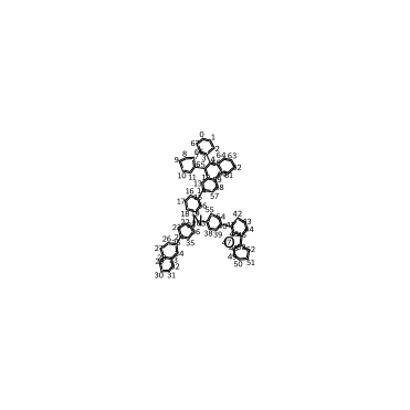 c1ccc(-c2c(-c3ccccc3)c3cc(-c4cccc(N(c5ccc(-c6ccc7ccccc7c6)cc5)c5ccc(-c6cccc7c6oc6ccccc67)cc5)c4)ccc3c3ccccc23)cc1